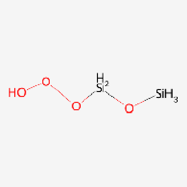 OOO[SiH2]O[SiH3]